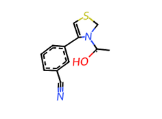 C[C](O)N1CSC=C1c1cccc(C#N)c1